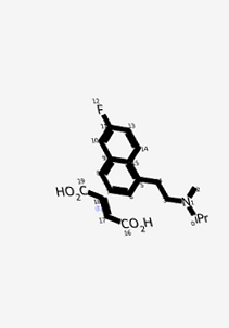 CC(C)N(C)CCc1cccc2cc(F)ccc12.O=C(O)/C=C/C(=O)O